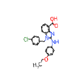 CCOc1ccc(Nc2nc3c(C(=O)O)cccc3n2Cc2ccc(Cl)cc2)cc1